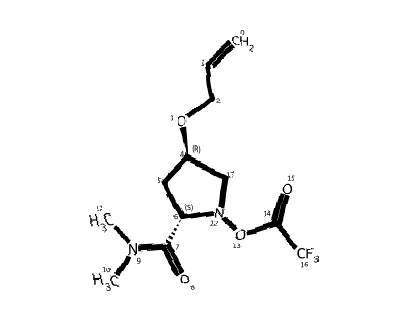 C=CCO[C@@H]1C[C@@H](C(=O)N(C)C)N(OC(=O)C(F)(F)F)C1